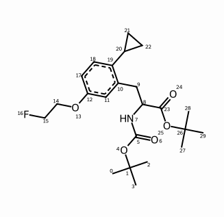 CC(C)(C)OC(=O)NC(Cc1cc(OCCF)ccc1C1CC1)C(=O)OC(C)(C)C